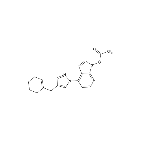 O=C(On1ccc2c(-n3cc(CC4=CCCCC4)cn3)ccnc21)C(F)(F)F